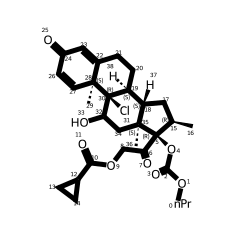 CCCOC(=O)O[C@]1(C(=O)COC(=O)C2CC2)[C@H](C)C[C@H]2[C@@H]3CCC4=CC(=O)C=C[C@]4(C)[C@@]3(Cl)C(O)C[C@@]21C